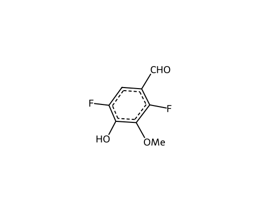 COc1c(O)c(F)cc(C=O)c1F